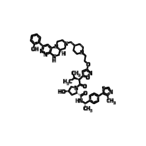 Cc1ncsc1-c1ccc([C@H](C)NC(=O)[C@@H]2C[C@@H](O)CN2C(=O)[C@H](c2cc(OCCN3CCC(CN4CCN5c6cc(-c7ccccc7O)nnc6NC[C@@H]5C4)CC3)no2)C(C)C)cc1